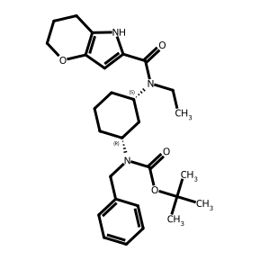 CCN(C(=O)c1cc2c([nH]1)CCCO2)[C@H]1CCC[C@@H](N(Cc2ccccc2)C(=O)OC(C)(C)C)C1